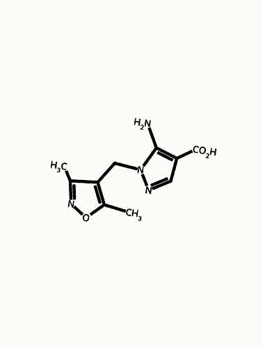 Cc1noc(C)c1Cn1ncc(C(=O)O)c1N